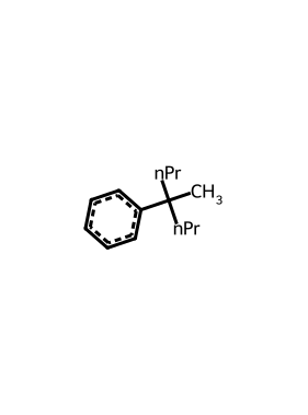 CCCC(C)(CCC)c1ccccc1